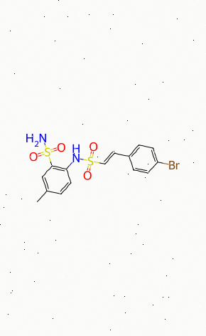 Cc1ccc(NS(=O)(=O)C=Cc2ccc(Br)cc2)c(S(N)(=O)=O)c1